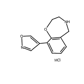 Cl.c1cc2c(c(-c3cnoc3)c1)OCCNC2